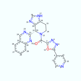 O=C(c1nnc(-c2ccncc2)o1)N1CCc2[nH]cnc2[C@H]1c1ncc2ccccc2n1